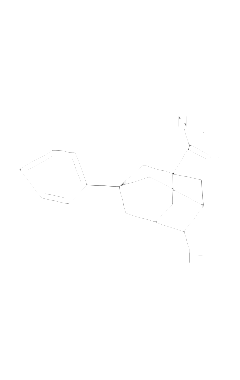 CCC1C2CC3(C(N)=O)CC1CC(c1ccccc1)(C2)C3